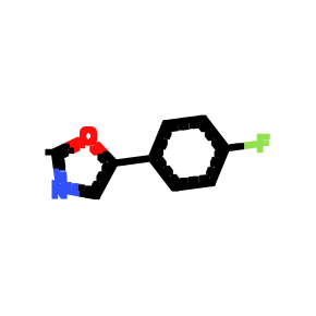 Fc1ccc(-c2cn[c]o2)cc1